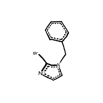 Brc1nccn1Cc1ccccc1